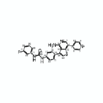 Nc1ncc(-c2ccncc2)c2scc(-c3ccc(NC(=O)Nc4cccc(F)c4)cc3)c12